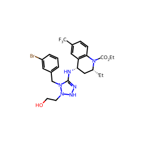 CCOC(=O)N1c2ccc(C(F)(F)F)cc2[C@@H](NC2=NNN(CCO)N2Cc2cccc(Br)c2)C[C@H]1CC